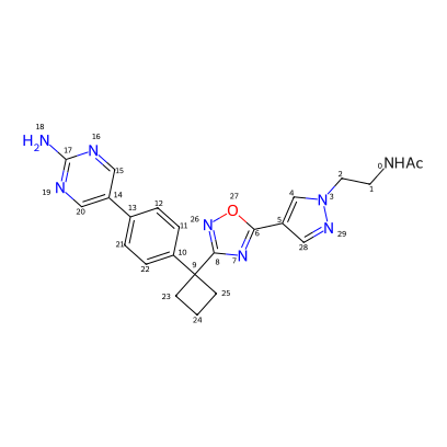 CC(=O)NCCn1cc(-c2nc(C3(c4ccc(-c5cnc(N)nc5)cc4)CCC3)no2)cn1